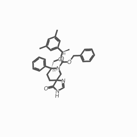 Cc1cc(C)cc([C@@H](C)OC[C@@]2(c3ccccc3)CCC3(CN2C(=O)OCc2ccccc2)N=CNC3=O)c1